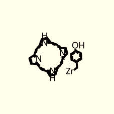 C1=Cc2cc3ccc(cc4nc(cc5ccc(cc1n2)[nH]5)C=C4)[nH]3.Oc1ccc([CH2][Zr])cc1